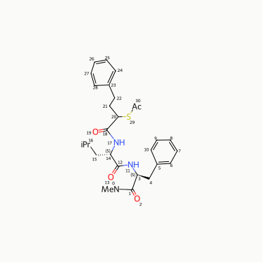 CNC(=O)[C@H](Cc1ccccc1)NC(=O)[C@H](CC(C)C)NC(=O)C(CCc1ccccc1)SC(C)=O